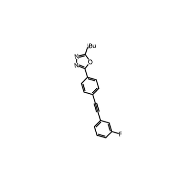 CCC(C)c1nnc(-c2ccc(C#Cc3cccc(F)c3)cc2)o1